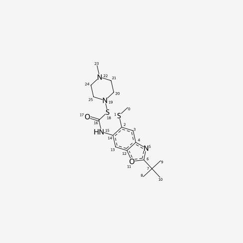 CSc1cc2nc(C(C)(C)C)oc2cc1NC(=O)SN1CCN(C)CC1